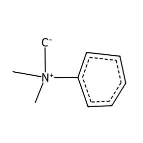 [CH2-][N+](C)(C)c1ccccc1